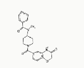 CN(C(=O)c1ccccc1)C1CCN(C(=O)c2ccc3c(c2)NC(=O)CO3)CC1